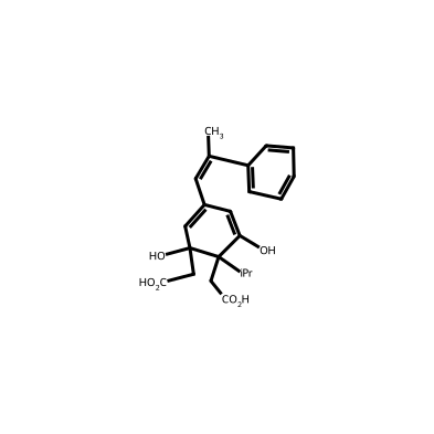 CC(=CC1=CC(O)(CC(=O)O)C(CC(=O)O)(C(C)C)C(O)=C1)c1ccccc1